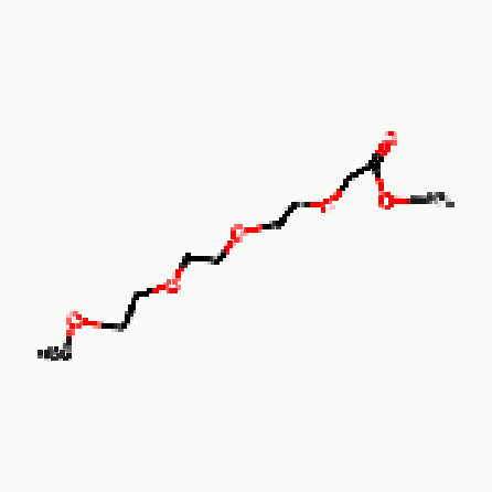 CCCCOCCOCCOCCOCC(=O)OC(C)(C)C